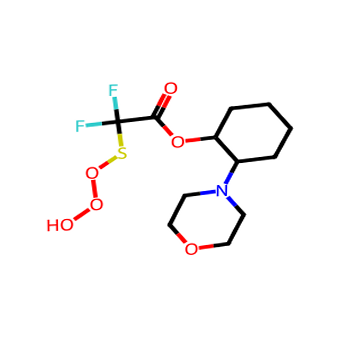 O=C(OC1CCCCC1N1CCOCC1)C(F)(F)SOOO